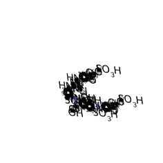 Nc1c(/N=N/c2ccc(S(=O)(=O)CCOS(=O)(=O)O)cc2)c(S(=O)(=O)O)cc2cc(SOOO)c(/N=N/c3cc(Nc4nc(Cl)nc(Nc5ccc(S(=O)(=O)CCOS(=O)(=O)O)cc5)n4)ccc3S(=O)(=O)O)c(O)c12